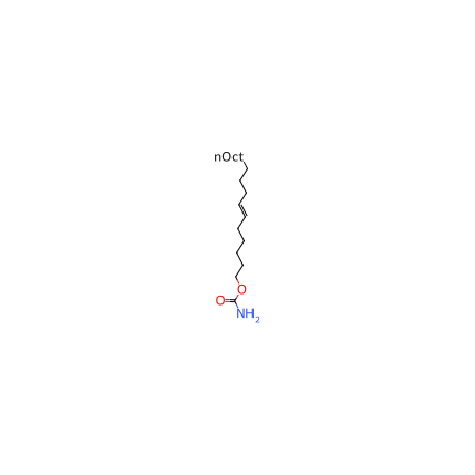 CCCCCCCCCCCC=CCCCCCOC(N)=O